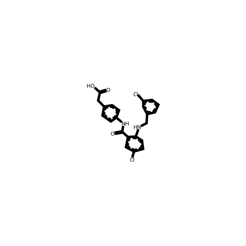 O=C(O)Cc1ccc(NC(=O)c2cc(Cl)ccc2NCc2cccc(Cl)c2)cc1